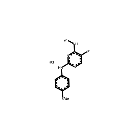 CSc1ccc(Nc2ncc(Br)c(NC(C)C)n2)cc1.Cl